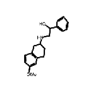 COc1ccc2c(c1)CCC(NCC(O)c1ccccc1)C2